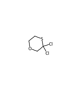 ClC1(Cl)COCCS1